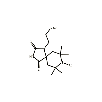 CCCCCCCCCCCCN1C(=O)NC(=O)C12CC(C)(C)N(C(C)=O)C(C)(C)C2